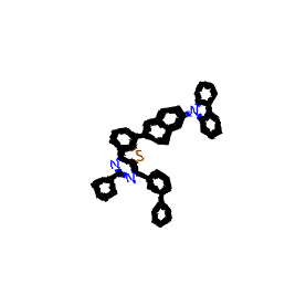 c1ccc(-c2cccc(-c3nc(-c4ccccc4)nc4c3sc3c(-c5ccc6cc(-n7c8ccccc8c8ccccc87)ccc6c5)cccc34)c2)cc1